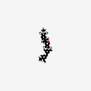 CCc1cc(Cc2cc(C)c(C(C)(C)C)c(CC)c2)cc(C)c1N1C(=O)c2ccc(C(c3ccc4c(c3)C(=O)N(C(C)(C)C)C4=O)(C(F)(F)F)C(F)(F)F)cc2C1=O